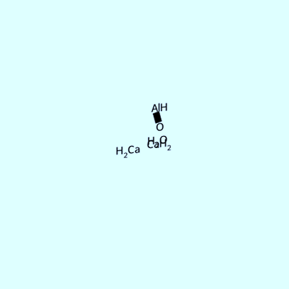 O.[CaH2].[CaH2].[O]=[AlH]